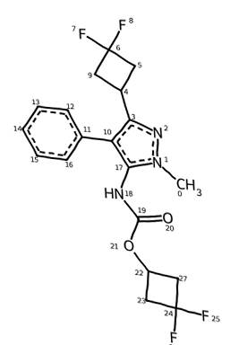 Cn1nc(C2CC(F)(F)C2)c(-c2ccccc2)c1NC(=O)OC1CC(F)(F)C1